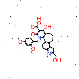 COc1ccc(Cn2c3c(c(O)c(C(=O)O)c2=O)CCCc2c-3ccc3c2cc(CO)n3C)c(OC)c1